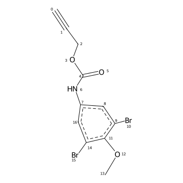 C#CCOC(=O)Nc1cc(Br)c(OC)c(Br)c1